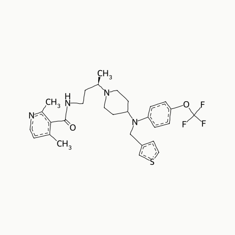 Cc1ccnc(C)c1C(=O)NCC[C@@H](C)N1CCC(N(Cc2ccsc2)c2ccc(OC(F)(F)F)cc2)CC1